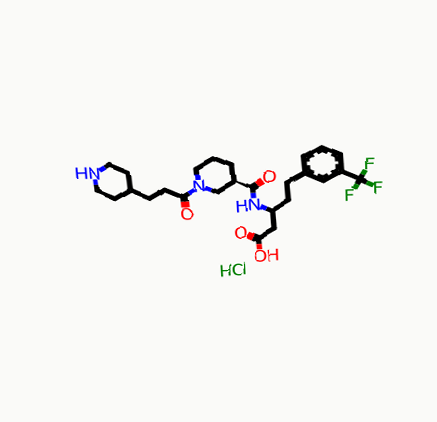 Cl.O=C(O)CC(CCc1cccc(C(F)(F)F)c1)NC(=O)[C@@H]1CCCN(C(=O)CCC2CCNCC2)C1